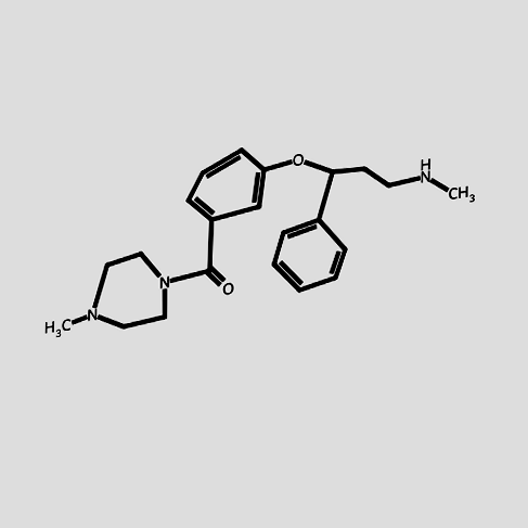 CNCCC(Oc1cccc(C(=O)N2CCN(C)CC2)c1)c1ccccc1